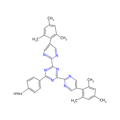 CCCCCCc1ccc(-c2nc(-c3ncc(-c4c(C)cc(C)cc4C)cn3)nc(-c3ncc(-c4c(C)cc(C)cc4C)cn3)n2)cc1